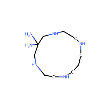 NC1(N)CNCCNCCCNCCNC1